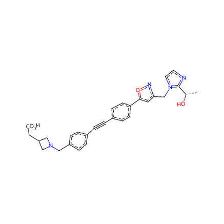 C[C@H](O)c1nccn1Cc1cc(-c2ccc(C#Cc3ccc(CN4CC(CC(=O)O)C4)cc3)cc2)on1